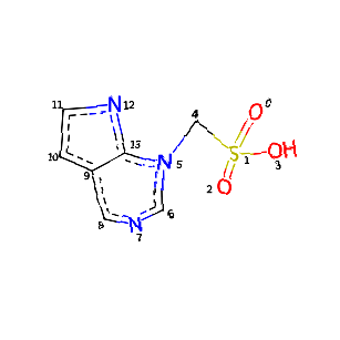 O=S(=O)(O)Cn1cncc2ccnc1-2